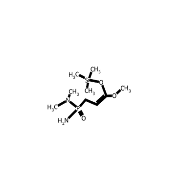 COC(=CCP(N)(=O)N(C)C)O[Si](C)(C)C